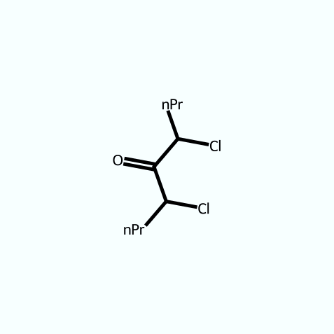 CCCC(Cl)C(=O)C(Cl)CCC